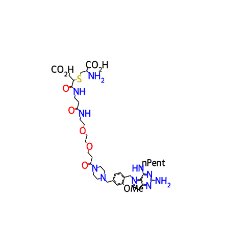 CCCCCNc1nc(N)nc2ccn(Cc3ccc(CN4CCN(C(=O)CCOCCOCCNC(=O)CCNC(=O)C(CC(=O)O)SC[C@H](N)C(=O)O)CC4)cc3OC)c12